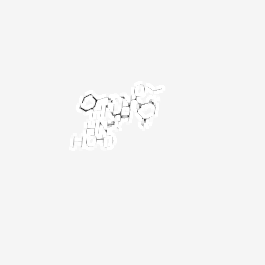 CC(C)[C@@H]1CC[C@@H](C)C[C@H]1C(=O)NC[C@H](Cc1ccccc1)NC(=O)[C@@H](C)NC(=O)O